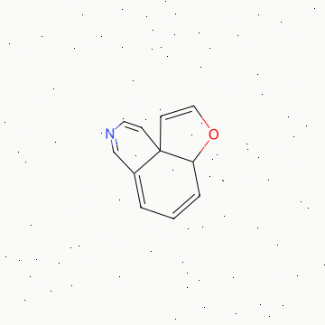 C1=CC2OC=CC23C=CN=CC3=C1